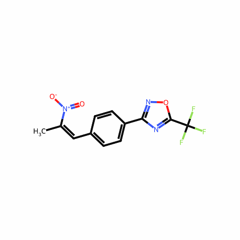 CC(=Cc1ccc(-c2noc(C(F)(F)F)n2)cc1)[N+](=O)[O-]